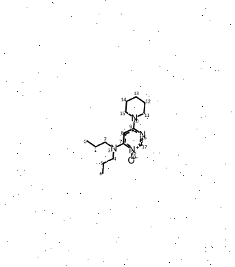 CCCN(CCC)c1cc(N2CCCCC2)nc[n+]1[O-]